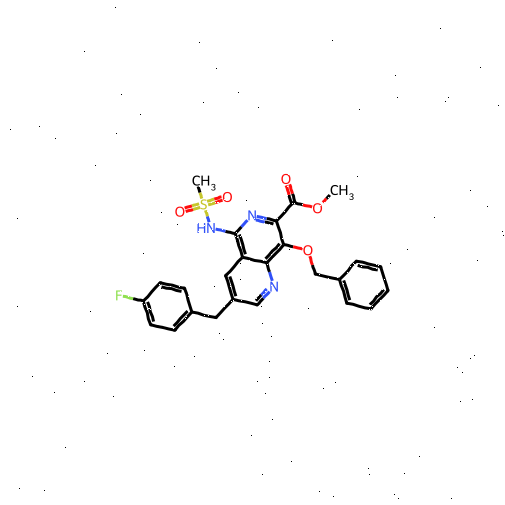 COC(=O)c1nc(NS(C)(=O)=O)c2cc(Cc3ccc(F)cc3)cnc2c1OCc1ccccc1